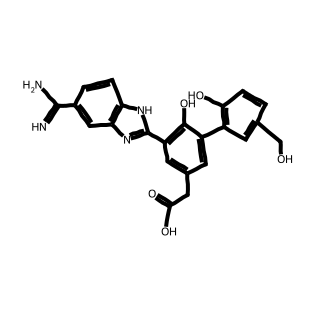 N=C(N)c1ccc2[nH]c(-c3cc(CC(=O)O)cc(-c4cc(CO)ccc4O)c3O)nc2c1